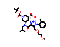 COCCOCc1c(C(=O)N(CC(C)C)[C@H]2C[C@@H](C(=O)O)CN(C(=O)OC(C)(C)C)C2)nnn1-c1ccccc1C